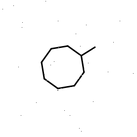 CC1CC[CH]CCCC1